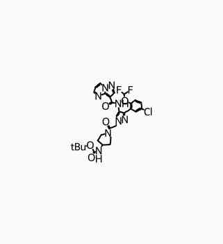 CC(C)(C)OC(=O)NC1CCN(C(=O)Cn2cc(NC(=O)c3cnn4cccnc34)c(-c3cc(Cl)ccc3OC(F)F)n2)CC1